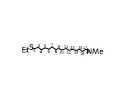 CCSCCCCCCCCCCCCCCCCNC